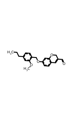 CCCc1ccc(COc2ccc3c(c2)OCC(C=O)=C3)c(OC)c1